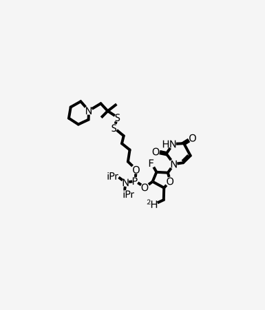 [2H]CC1OC(n2ccc(=O)[nH]c2=O)C(F)C1OP(OCCCCSSC(C)(C)CN1CCCCC1)N(C(C)C)C(C)C